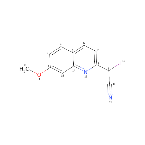 COc1ccc2ccc(C(I)C#N)nc2c1